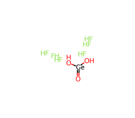 F.F.F.F.F.F.[O]=[Ge]([OH])[OH]